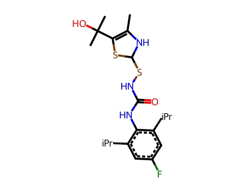 CC1=C(C(C)(C)O)SC(SNC(=O)Nc2c(C(C)C)cc(F)cc2C(C)C)N1